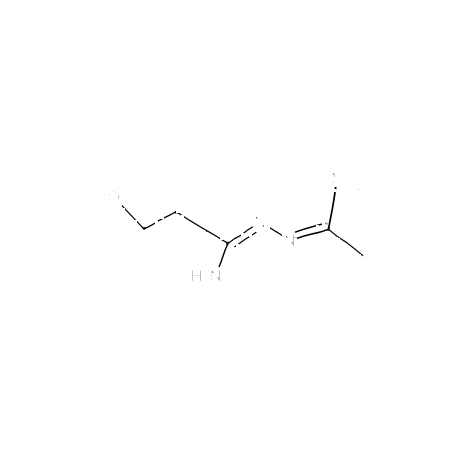 C/C(N)=N/N=C(\N)CCO